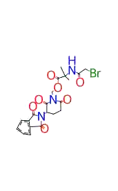 CC(C)(NC(=O)CBr)C(=O)OCN1C(=O)CCC(N2C(=O)c3ccccc3C2=O)C1=O